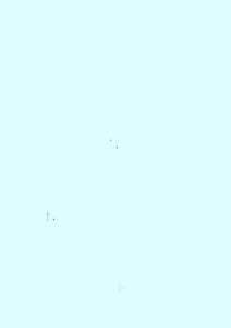 CCC1CCN(c2occ(C(C)(C)C)c2C#N)C1=O